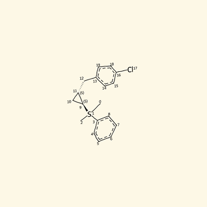 CS(C)(c1ccccc1)[C@H]1C[C@@H]1Cc1ccc(Cl)cc1